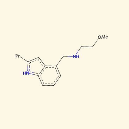 COCCNCc1cccc2[nH]c(C(C)C)cc12